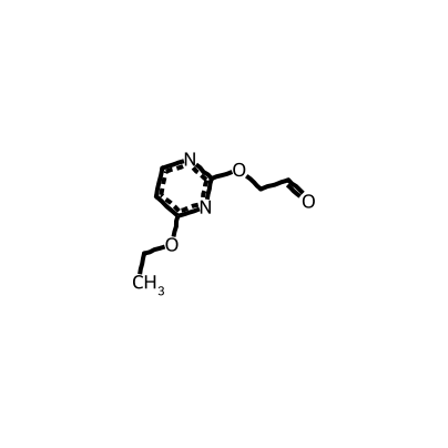 CCOc1ccnc(OCC=O)n1